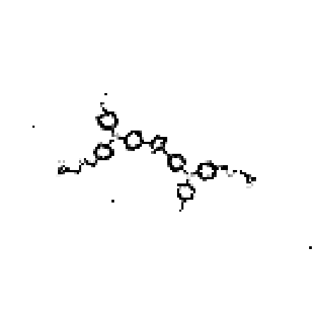 Cc1ccc(N(c2ccc(COCC3CO3)cc2)c2ccc(-c3ccc(-c4ccc(N(c5ccc(C)cc5)c5ccc(COCC6CO6)cc5)cc4)s3)cc2)cc1